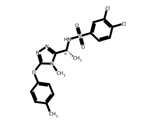 Cc1ccc(Oc2nnc([C@@H](C)NS(=O)(=O)c3ccc(Cl)c(Cl)c3)n2C)cc1